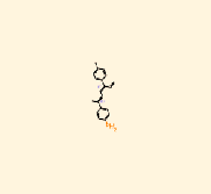 C=C/C(=C\C=C(/C)c1ccc(P)cc1)c1ccc(C)cc1